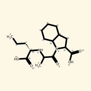 CCC[C@H](NC(C)C(=O)N1C(C(=O)O)CC2CCCCC21)C(=O)O